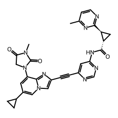 Cc1ccnc([C@H]2C[C@@H]2C(=O)Nc2cc(C#Cc3cn4cc(C5CC5)cc(N5CC(=O)N(C)C5=O)c4n3)ncn2)n1